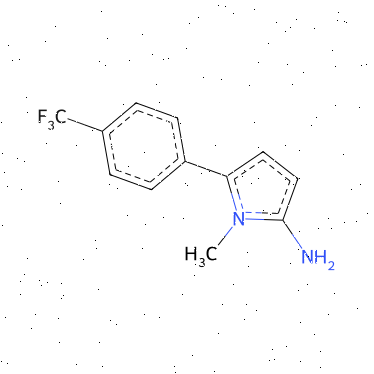 Cn1c(N)ccc1-c1ccc(C(F)(F)F)cc1